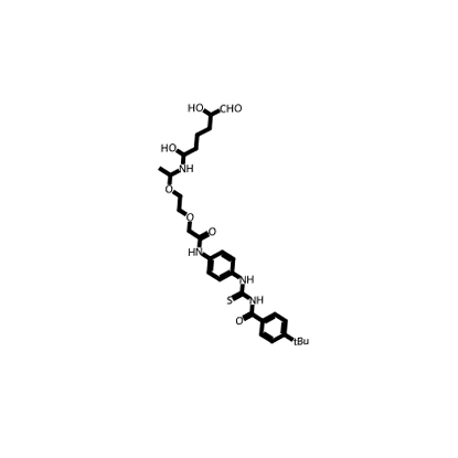 CC(NC(O)CCCC(O)C=O)OCCOCC(=O)Nc1ccc(NC(=S)NC(=O)c2ccc(C(C)(C)C)cc2)cc1